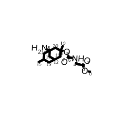 COC(=O)CNC(=O)OC1(C)CC2CC(C)CC(N)(C2)C1